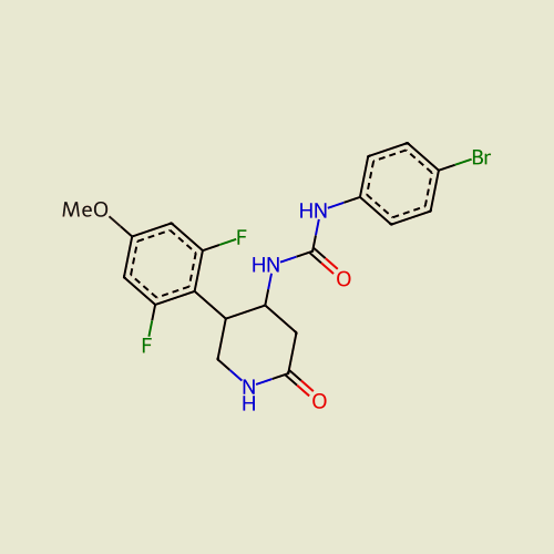 COc1cc(F)c(C2CNC(=O)CC2NC(=O)Nc2ccc(Br)cc2)c(F)c1